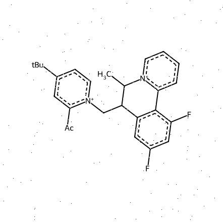 CC(=O)c1cc(C(C)(C)C)cc[n+]1CC1c2cc(F)cc(F)c2-c2cccc[n+]2C1C